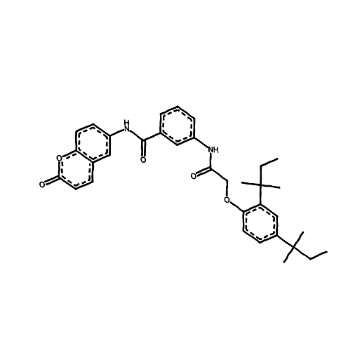 CCC(C)(C)c1ccc(OCC(=O)Nc2cccc(C(=O)Nc3ccc4oc(=O)ccc4c3)c2)c(C(C)(C)CC)c1